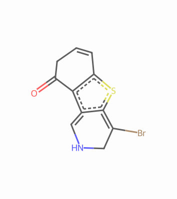 O=C1CC=Cc2sc3c(c21)=CNCC=3Br